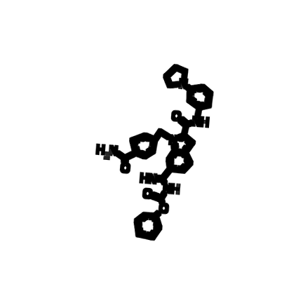 N=C(NC(=O)Oc1ccccc1)c1ccc2cc(C(=O)Nc3cccc(N4CCCC4)c3)n(Cc3ccc(C(N)=O)cc3)c2c1